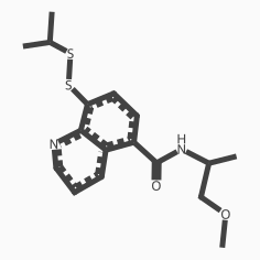 COCC(C)NC(=O)c1ccc(SSC(C)C)c2ncccc12